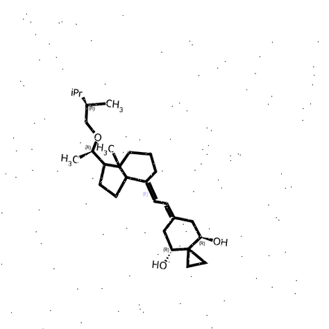 CC(C)[C@@H](C)CO[C@H](C)C1CCC2/C(=C/C=C3C[C@@H](O)C4(CC4)[C@H](O)C3)CCCC21C